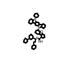 N=C(/N=C(\C=C\c1ccccc1)c1cccc(-c2ccccc2)c1)c1cccc2oc3c(-n4c5ccccc5c5cc6c(cc54)c4ccccc4n6-c4ccccc4)cccc3c12